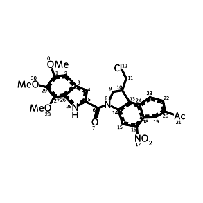 COc1cc2cc(C(=O)N3CC(CCl)c4c3cc([N+](=O)[O-])c3cc(C(C)=O)ccc43)[nH]c2c(OC)c1OC